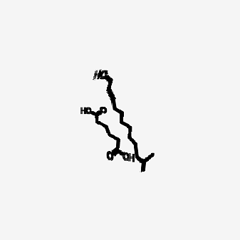 CC(C)CCCCCCCCCCO.O=C(O)CCCCC(=O)O